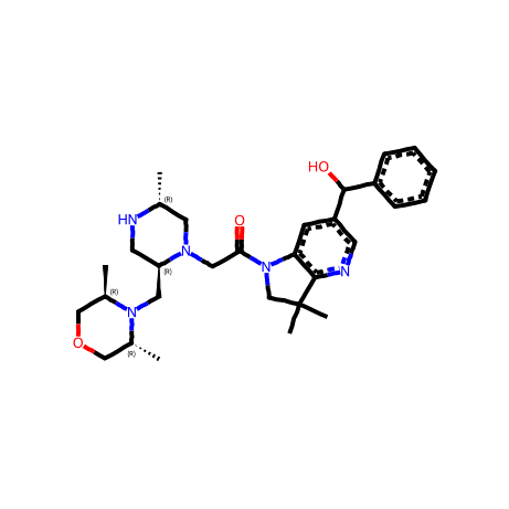 C[C@@H]1CN(CC(=O)N2CC(C)(C)c3ncc(C(O)c4ccccc4)cc32)[C@@H](CN2[C@H](C)COC[C@H]2C)CN1